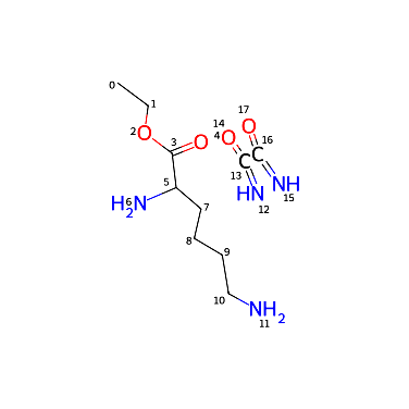 CCOC(=O)C(N)CCCCN.N=C=O.N=C=O